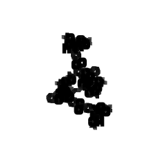 CC(C)(C)OC(=O)C[C@@H](C(=O)OC(C)(C)C)N(CCCCCN([C@@H](CC(=O)OC(C)(C)C)C(=O)OC(C)(C)C)S(=O)(=O)N(Cc1ccc(OC(=O)c2ccc(NC(=NC(=O)OC(C)(C)C)NC(=O)OC(C)(C)C)cc2)cc1)C(=O)OCc1ccccc1)S(=O)(=O)N(Cc1ccc(OC(=O)c2ccc(NC(=NC(=O)OC(C)(C)C)NC(=O)OC(C)(C)C)cc2)cc1)C(=O)OCc1ccccc1